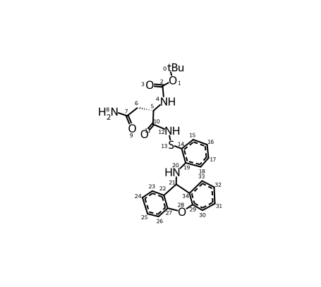 CC(C)(C)OC(=O)N[C@@H](CC(N)=O)C(=O)NSc1ccccc1NC1c2ccccc2Oc2ccccc21